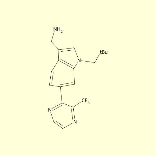 CC(C)(C)Cn1cc(CN)c2ccc(-c3nccnc3C(F)(F)F)cc21